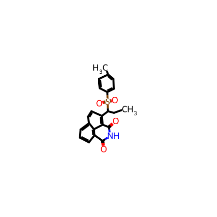 CCC(c1ccc2cccc3c2c1C(=O)NC3=O)S(=O)(=O)c1ccc(C)cc1